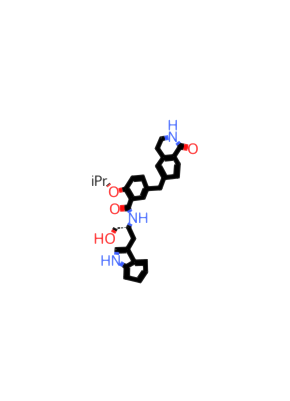 CC(C)Oc1ccc(Cc2ccc3c(c2)CCNC3=O)cc1C(=O)N[C@@H](CO)Cc1c[nH]c2ccccc12